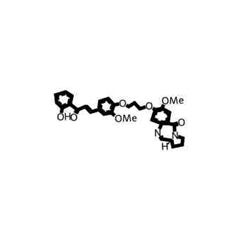 COc1cc(/C=C/C(=O)c2ccccc2O)ccc1OCCCOc1cc2c(cc1OC)C(=O)N1CCC[C@H]1C=N2